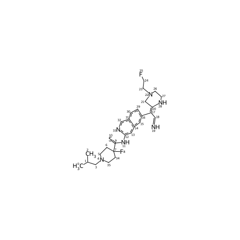 CC(C)CN1CCC(F)(C(=S)Nc2cc3cc(/C(C=N)=C4\CN(CCF)CCN4)ccc3cn2)CC1